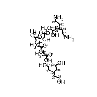 CC(=O)O.CC(=O)O.CC(=O)O.CC(=O)O.CC(=O)O.NCCNCCN.OCCN(CCO)CCO